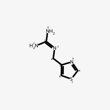 NC(N)=N[CH]c1cscn1